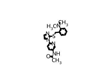 CC(=O)Nc1ccc(-n2ccnc2SCc2ccccc2N(C)C)nc1